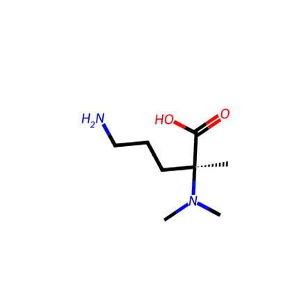 CN(C)[C@@](C)(CCCN)C(=O)O